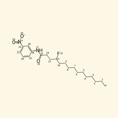 CCCCCCCCCCCC(F)CCC(=O)Nc1cccc([N+](=O)[O-])c1